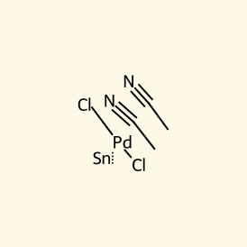 CC#N.CC#N.[Cl][Pd][Cl].[Sn]